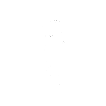 COC(=O)CNC(CCc1cccc(OCc2cccc(F)c2)c1)c1ccco1